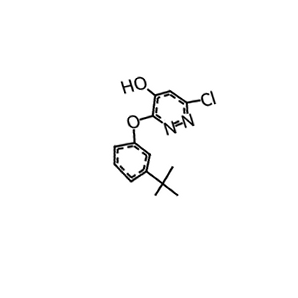 CC(C)(C)c1cccc(Oc2nnc(Cl)cc2O)c1